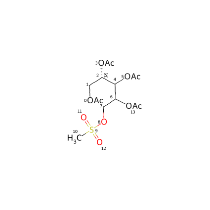 CC(=O)OC[C@H](OC(C)=O)C(OC(C)=O)C(COS(C)(=O)=O)OC(C)=O